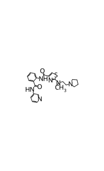 CN(CCN1CCCC1)c1nc(C(=O)Nc2ccccc2C(=O)Nc2cccnc2)cs1